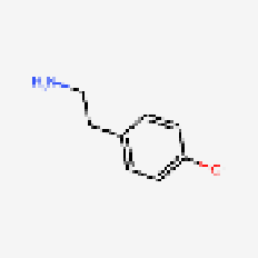 NCCc1ccc([O])cc1